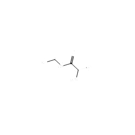 CCC[C@H](N)C(=O)NCC#N